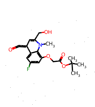 CN1C(CO)=CC(=C=O)c2cc(F)cc(OCC(=O)OC(C)(C)C)c21